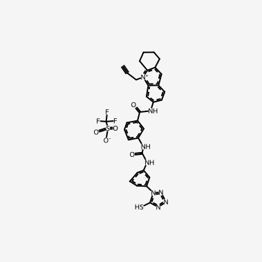 C#CC[n+]1c2c(cc3ccc(NC(=O)c4cccc(NC(=O)Nc5cccc(-n6nnnc6S)c5)c4)cc31)CCCC2.O=S(=O)([O-])C(F)(F)F